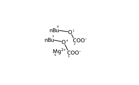 CCCCOC(=O)[O-].CCCCOC(=O)[O-].[Mg+2]